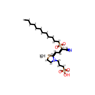 CCCCCCCCCCCCS(=O)(=O)C(C#N)=CC=C1SCCN1CCCS(=O)(=O)O.[KH]